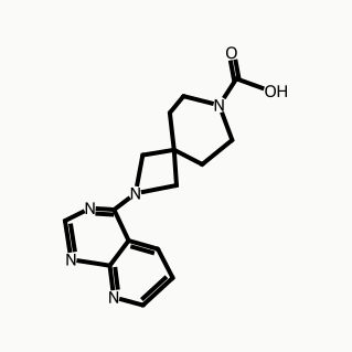 O=C(O)N1CCC2(CC1)CN(c1ncnc3ncccc13)C2